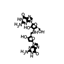 Nc1nc2c(ncn2[C@@H]2O[C@H](CO)[C@@H](BC[C@H]3O[C@@H](n4cnc5c(=O)[nH]c(N)nc54)C[C@@H]3O)[C@H]2O)c(=O)[nH]1